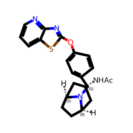 CC(=O)N[C@@H]1C[C@H]2CC[C@@H](C1)N2Cc1ccc(Oc2nc3ncccc3s2)cc1